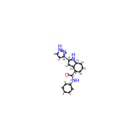 O=C(Nc1ccccc1)c1cccc2[nH]c(-c3cc[nH]n3)cc12